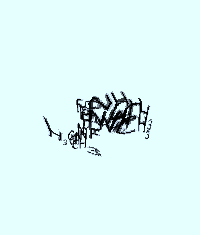 C[C@@H]1CN(c2ncc(-c3c(F)cc(N4C[C@@H](C)N(C)[C@@H](C)C4)c(NC(=O)C4=CNCC=C4C(F)F)c3F)cn2)C[C@H](C)O1